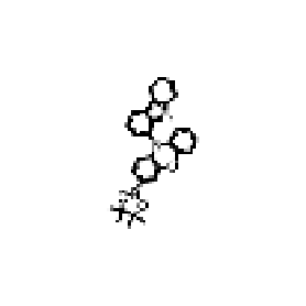 CC1(C)OB(c2ccc3c(c2)Oc2ccccc2N3c2cccc3c4c(oc23)C=CCC4)OC1(C)C